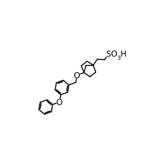 O=S(=O)(O)CCC12CCC(OCc3cccc(Oc4ccccc4)c3)(CC1)C2